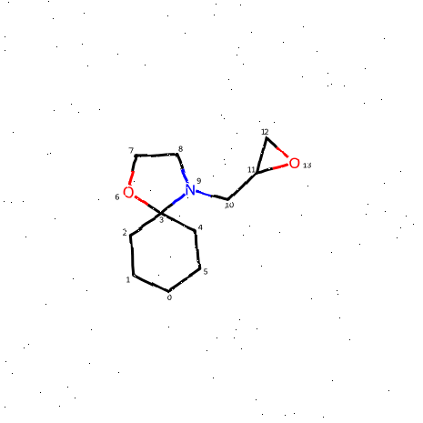 C1CCC2(CC1)OCCN2CC1CO1